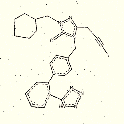 CC#CCc1nn(CC2CCCCC2)c(=O)n1Cc1ccc(-c2ccccc2-c2nnn[nH]2)cc1